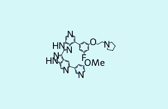 COc1cncc(-c2cc3c(-c4nc5c(-c6cc(F)cc(OCCN7CCCC7)c6)cncc5[nH]4)n[nH]c3cn2)c1